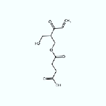 C=CC(=O)C(CO)COC(=O)CCC(=O)O